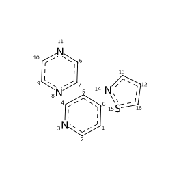 c1ccncc1.c1cnccn1.c1cnsc1